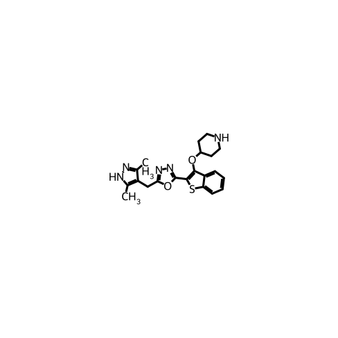 Cc1n[nH]c(C)c1Cc1nnc(-c2sc3ccccc3c2OC2CCNCC2)o1